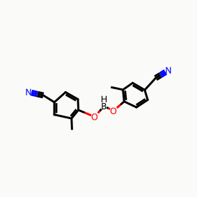 Cc1cc(C#N)ccc1OBOc1ccc(C#N)cc1C